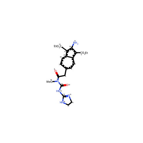 CCOC(=O)c1c2ccc(CC(=O)N(OC)C(=O)NC3=NCCN3)ccc-2c(C(=O)OCC)c1N